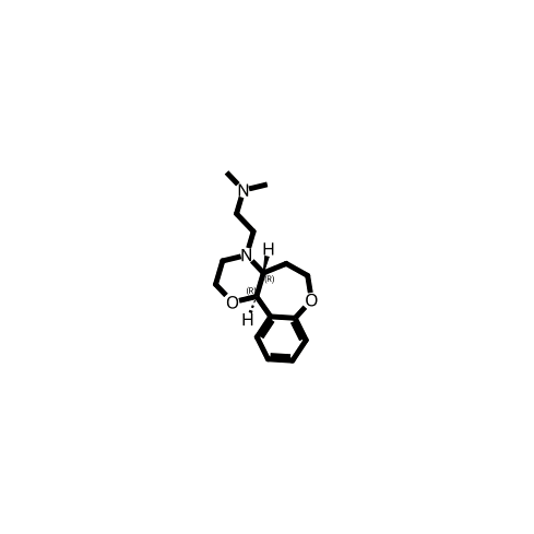 CN(C)CCN1CCO[C@@H]2c3ccccc3OCC[C@H]21